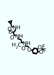 C=C(CCNC(=O)C1CNC(C2CC2)OO1)NC(=O)COc1ccc2c(c1)OC(F)(F)O2